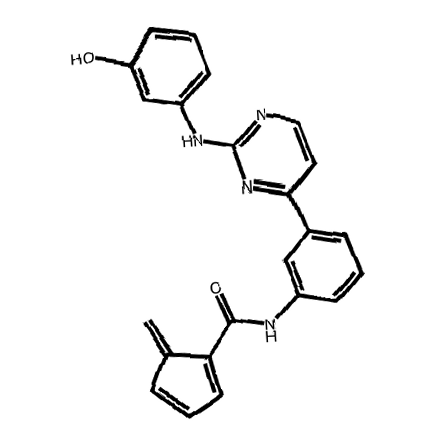 C=C1C=CC=C1C(=O)Nc1cccc(-c2ccnc(Nc3cccc(O)c3)n2)c1